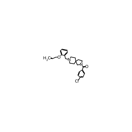 C=CCOc1ccccc1CN1CCC2(CC1)CCN(C(=O)c1ccc(Cl)cc1)C2